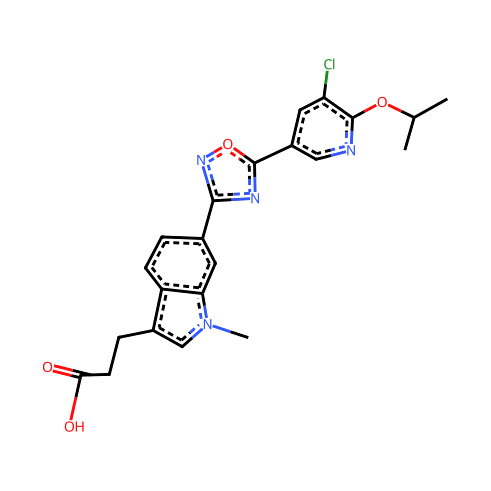 CC(C)Oc1ncc(-c2nc(-c3ccc4c(CCC(=O)O)cn(C)c4c3)no2)cc1Cl